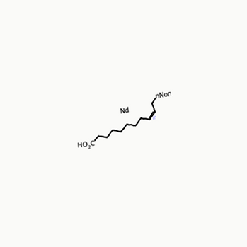 CCCCCCCCCC/C=C\CCCCCCCC(=O)O.[Nd]